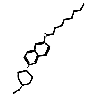 CCCCCCCCOc1ccc2cc([C@H]3CC[C@H](CC)CC3)ccc2c1